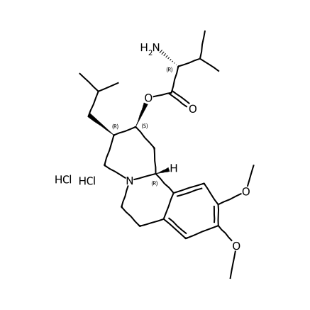 COc1cc2c(cc1OC)[C@H]1C[C@H](OC(=O)[C@H](N)C(C)C)[C@H](CC(C)C)CN1CC2.Cl.Cl